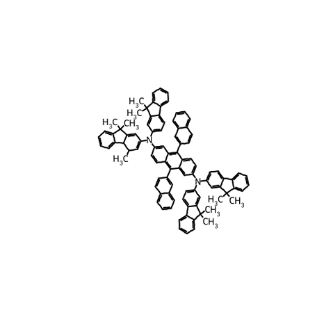 CC1C=C(N(c2ccc3c(c2)C(C)(C)c2ccccc2-3)c2ccc3c(-c4ccc5ccccc5c4)c4cc(N(c5ccc6c(c5)C(C)(C)c5ccccc5-6)c5ccc6c(c5)C(C)(C)c5ccccc5-6)ccc4c(-c4ccc5ccccc5c4)c3c2)C=C2C1c1ccccc1C2(C)C